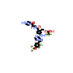 CCc1cc(Nc2nccn3c(-c4ccc(OC(F)F)c(F)c4F)cnc23)ccc1C(=O)NCCC(=O)N1CCNCC1.O=C(O)C(F)(F)F